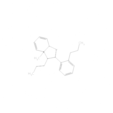 CCCc1ccccc1C1[C]C2C=CC=CC2(C)C1CCC